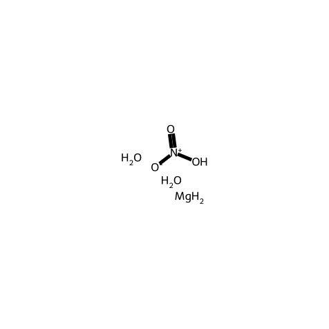 O.O.O=[N+]([O-])O.[MgH2]